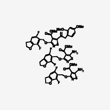 COC(=O)c1c(OCc2c(F)cc3c(c2F)OCC3)nsc1N.COC(=O)c1c(OCc2c(F)cc3c(c2F)OCC3)nsc1N.COC(=O)c1c(OCc2c(F)cc3c(c2F)OCC3)nsc1NCc1ccc(OC)cc1OC